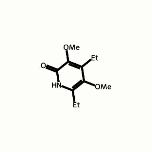 CCc1[nH]c(=O)c(OC)c(CC)c1OC